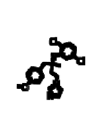 COc1ccc(CC(C)(CCn2ccnc2)Sc2cc(Cl)ccc2Cl)cc1